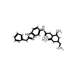 C=C(CC1C(=C)CC(CC)CC1C)Nc1ccc2[nH]c(Cc3ccccc3)nc2c1